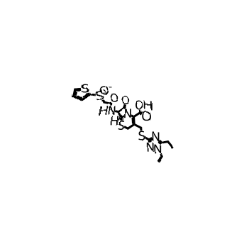 CCc1nc(SCC2=C(C(=O)O)N3C(=O)C(NC(=O)C[S+]([O-])c4cccs4)[C@H]3SC2)nn1CC